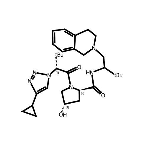 CC(C)(C)C(CN1CCc2ccccc2C1)NC(=O)[C@H]1C[C@H](O)CN1C(=O)[C@H](n1cc(C2CC2)nn1)C(C)(C)C